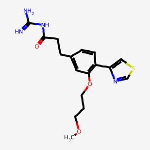 COCCCOc1cc(CCC(=O)NC(=N)N)ccc1-c1cscn1